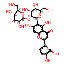 O=c1cc(-c2ccc(O)c(O)c2)oc2cc(O)c([C@@H]3O[C@H](CO)[C@@H](O)[C@H](O)[C@H]3O[C@@H]3O[C@H](CO)[C@@H](O)[C@H](O)[C@H]3O)c(O)c12